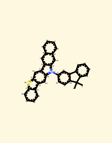 CC1(C)c2ccccc2-c2cc(-n3c4cc5ccccc5cc4c4cc5sc6ccccc6c5cc43)ccc21